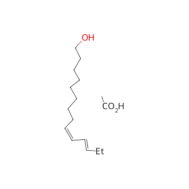 CC(=O)O.CC/C=C/C=C\CCCCCCCCO